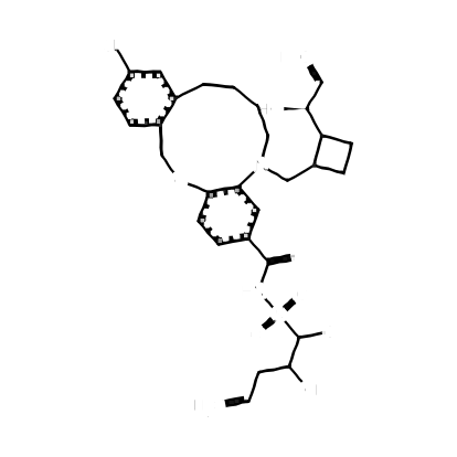 C=CCC(C)C(C)S(=O)(=O)NC(=O)c1ccc2c(c1)N(CC1CCC1[C@@H](O)C=C)CCCCc1cc(Cl)ccc1CO2